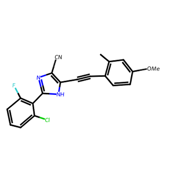 COc1ccc(C#Cc2[nH]c(-c3c(F)cccc3Cl)nc2C#N)c(C)c1